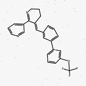 FC(F)(F)Oc1cccc(-c2cccc(C=C3CCCN=C3c3cccnc3)c2)c1